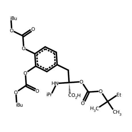 CCC(C)OC(=O)Oc1ccc(C[C@](NC(C)C)(OC(=O)OC(C)(C)CC)C(=O)O)cc1OC(=O)OC(C)CC